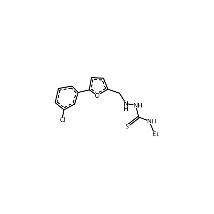 CCNC(=S)NNCc1ccc(-c2cccc(Cl)c2)o1